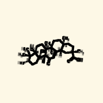 CC1(C)[C@@H](O)CC[C@]2(C)[C@H]3C(=O)C=C4[C@H]5C[C@@](C)(C(=O)O)CC[C@]5(C)CC[C@@]4(C)[C@]3(C)CC[C@@]12C